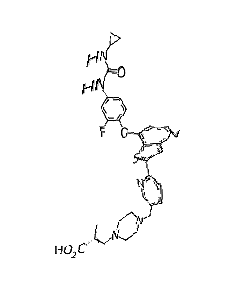 C[C@H](CN1CCN(Cc2ccc(-c3cc4nccc(Oc5ccc(NC(=O)NC6CC6)cc5F)c4s3)nc2)CC1)C(=O)O